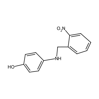 O=[N+]([O-])c1ccccc1CNc1ccc(O)cc1